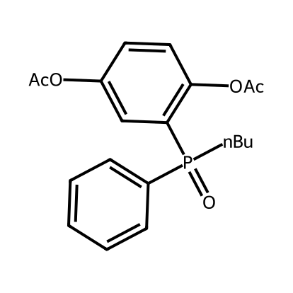 CCCCP(=O)(c1ccccc1)c1cc(OC(C)=O)ccc1OC(C)=O